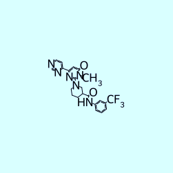 Cn1c(N2CCCC(C(=O)Nc3cccc(C(F)(F)F)c3)C2)nc(-c2ccncn2)cc1=O